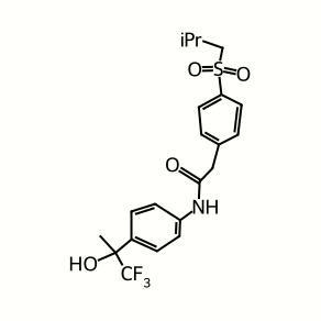 CC(C)CS(=O)(=O)c1ccc(CC(=O)Nc2ccc(C(C)(O)C(F)(F)F)cc2)cc1